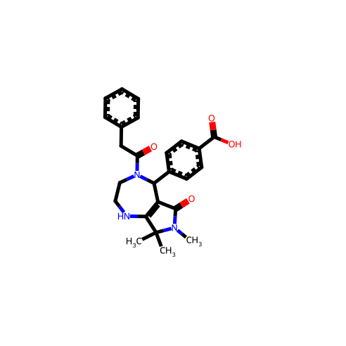 CN1C(=O)C2=C(NCCN(C(=O)Cc3ccccc3)C2c2ccc(C(=O)O)cc2)C1(C)C